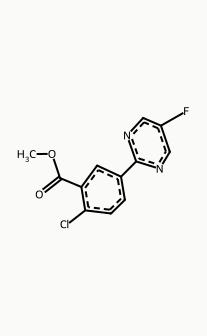 COC(=O)c1cc(-c2ncc(F)cn2)ccc1Cl